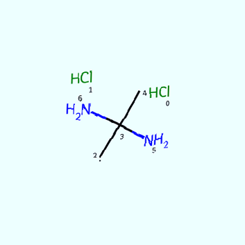 Cl.Cl.[CH2]C(C)(N)N